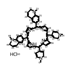 CN1C=CC(c2c3nc(c(C4=CCN(C)C=C4)c4ccc(s4)c(-c4ccc5c(c4)C=CCN5C)c4nc(c(-c5ccc6c(c5)C=CCN6C)c5ccc2[nH]5)C=C4)C=C3)=CC1.Cl